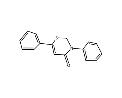 O=C1C=C(c2ccccc2)SCN1c1ccccc1